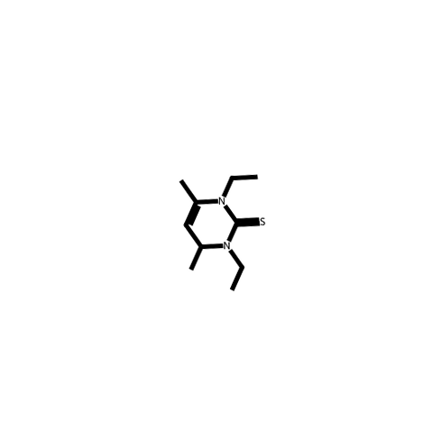 CCN1C(=S)N(CC)C(C)C=C1C